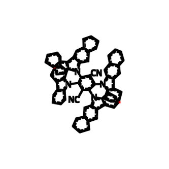 N#Cc1c(-n2c3ccccc3c3cc4ccccc4cc32)c(-n2c3ccccc3c3cc4ccccc4cc32)c(C#N)c(-n2c3ccccc3c3cc4ccccc4cc32)c1-n1c2ccccc2c2cc3ccccc3cc21